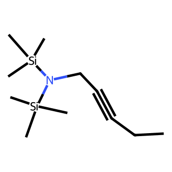 CCC#CCN([Si](C)(C)C)[Si](C)(C)C